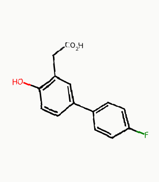 O=C(O)Cc1cc(-c2ccc(F)cc2)ccc1O